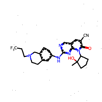 CC1(O)CCCC1n1c(=O)c(C#N)cc2cnc(Nc3ccc4c(c3)CCN(CCC(F)(F)F)C4)nc21